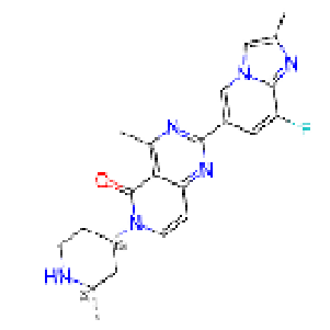 Cc1cn2cc(-c3nc(C)c4c(=O)n([C@H]5CCN[C@@H](C)C5)ccc4n3)cc(F)c2n1